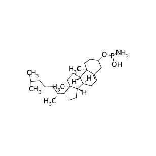 CC(C)CCC[C@@H](C)[C@H]1CC[C@H]2[C@@H]3CC=C4CC(OP(N)O)CC[C@]4(C)[C@H]3CC[C@]12C